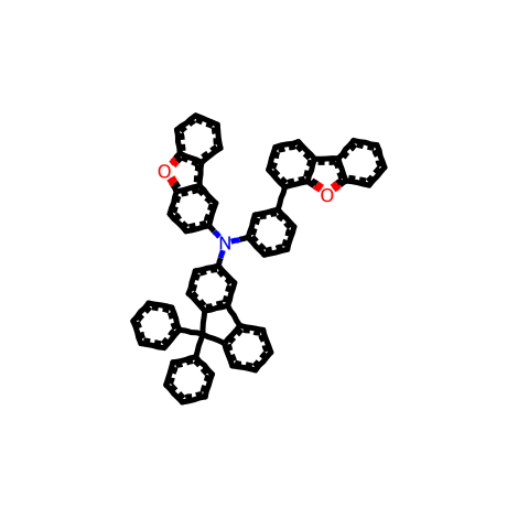 c1ccc(C2(c3ccccc3)c3ccccc3-c3cc(N(c4cccc(-c5cccc6c5oc5ccccc56)c4)c4ccc5oc6ccccc6c5c4)ccc32)cc1